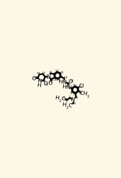 C=CCN(CC)Cc1cc(NC(=O)NCc2ccc3c(c2)C(=O)N(C2CCC(=O)NC2=O)C3)cc(Cl)c1C